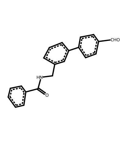 O=Cc1ccc(-c2cccc(CNC(=O)c3ccccc3)c2)cc1